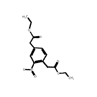 CCOC(=O)Cc1ccc(CC(=O)OCC)c([N+](=O)[O-])c1